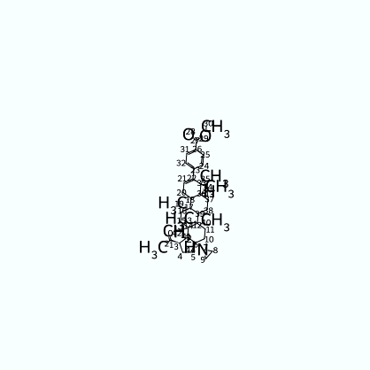 C=C(C)[C@@H]1CC[C@]2(N3CC3)CC[C@]3(C)[C@H](CCC4[C@@]5(C)CC=C(c6ccc(C(=O)OC)cc6)C(C)(C)[C@@H]5CC[C@]43C)[C@@H]12